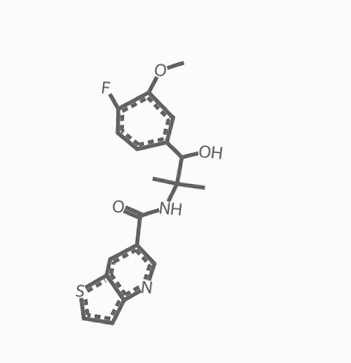 COc1cc(C(O)C(C)(C)NC(=O)c2cnc3ccsc3c2)ccc1F